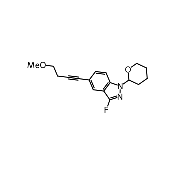 COCCC#Cc1ccc2c(c1)c(F)nn2C1CCCCO1